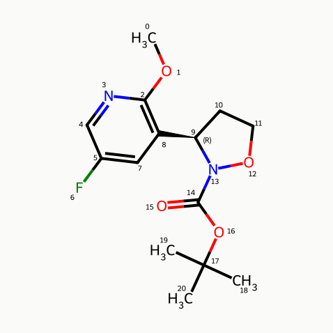 COc1ncc(F)cc1[C@H]1CCON1C(=O)OC(C)(C)C